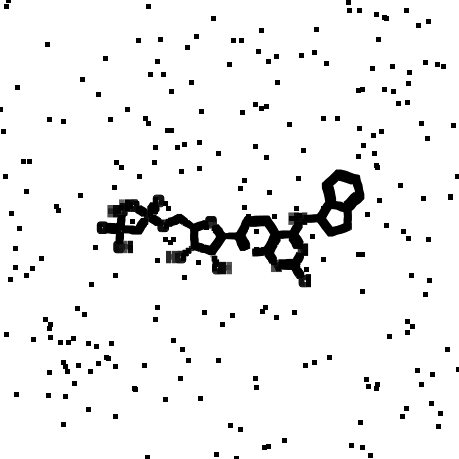 C=C(/C=C\c1c(C)nc(Cl)nc1NC1CCc2ccccc21)[C@@H]1O[C@H](COP(=O)(O)CP(=O)(O)O)[C@@H](O)[C@H]1O